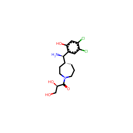 N[C@@H](c1cc(Cl)c(Cl)cc1O)[C@@H]1CCCN(C(=O)[C@H](O)CO)CC1